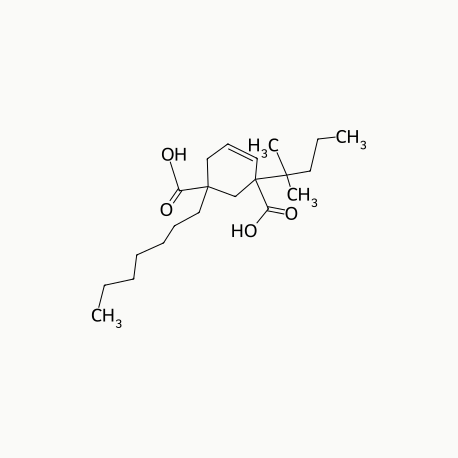 CCCCCCCC1(C(=O)O)CC=CC(C(=O)O)(C(C)(C)CCC)C1